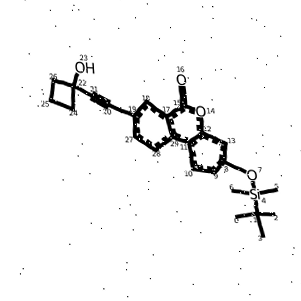 CC(C)(C)[Si](C)(C)Oc1ccc2c(c1)oc(=O)c1cc(C#CC3(O)CCC3)ccc12